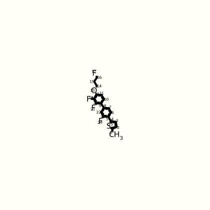 Cc1ccc(-c2ccc(-c3ccc(OCCCF)c(F)c3F)cc2F)s1